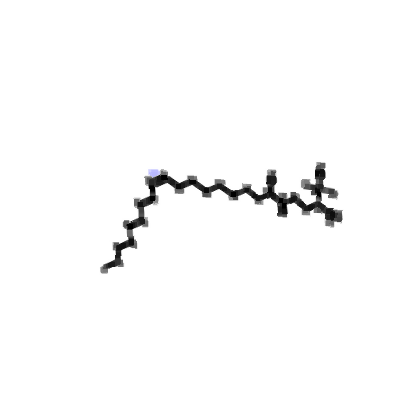 CCCCCCCC/C=C\CCCCCCCC(=O)NCCC(O)P(C)(C)=O